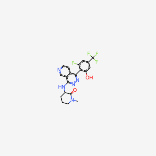 CN1CCCC(Nc2nnc(-c3c(O)cc(C(F)(F)F)cc3F)c3ccncc23)C1=O